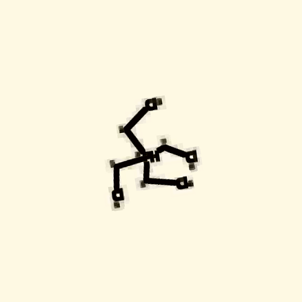 ClC[PH](CCl)(CCl)CCl